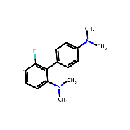 CN(C)c1ccc(-c2c(F)[c]ccc2N(C)C)cc1